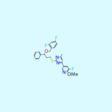 COc1ncc(-c2cc(C)nc(SCCC(OCc3ccc(F)cc3F)c3ccccc3)n2)cc1F